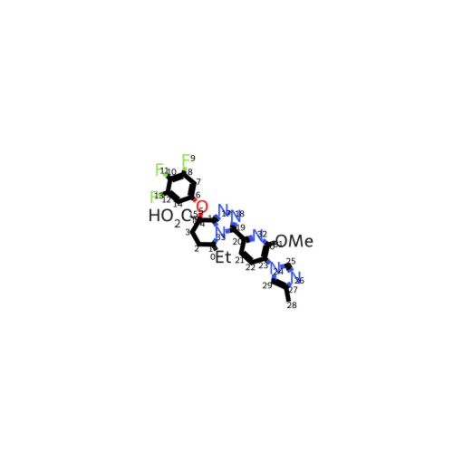 CCC1CC[C@](Oc2cc(F)c(F)c(F)c2)(C(=O)O)c2nnc(-c3ccc(-n4cnc(C)c4)c(OC)n3)n21